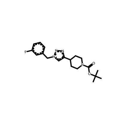 CC(C)(C)OC(=O)N1CCC(c2cn(Cc3cccc(F)c3)nn2)CC1